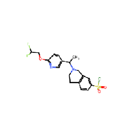 CC(c1ccc(OCC(F)F)nc1)N1CCc2ccc(S(=O)(=O)Cl)cc2C1